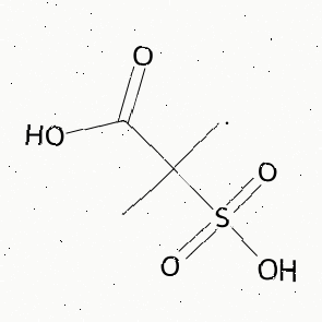 [CH2]C(C)(C(=O)O)S(=O)(=O)O